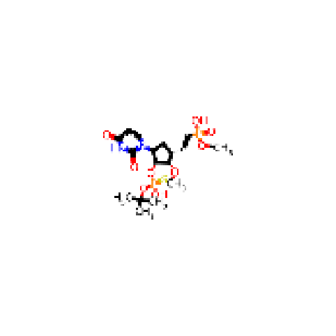 CO[C@@H]1[C@@H](/C=C/P(=O)(O)OC)CC(n2ccc(=O)[nH]c2=O)[C@@H]1OP(O)(=S)OC(C)(C)C